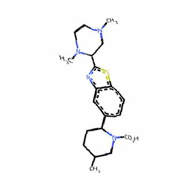 CC1CCC(c2ccc3sc(C4CN(C)CCN4C)nc3c2)N(C(=O)O)C1